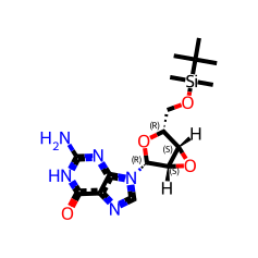 CC(C)(C)[Si](C)(C)OC[C@H]1O[C@@H](n2cnc3c(=O)[nH]c(N)nc32)[C@H]2O[C@H]21